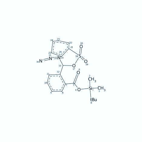 CC(C)(C)[Si](C)(C)OC(=O)c1ccccc1C(N=[N+]=[N-])OS(=O)(=O)c1ccccc1